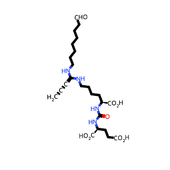 C=C=C=C(NCCCCCCCC=O)NCCCC[C@H](NC(=O)N[C@@H](CCC(=O)O)C(=O)O)C(=O)O